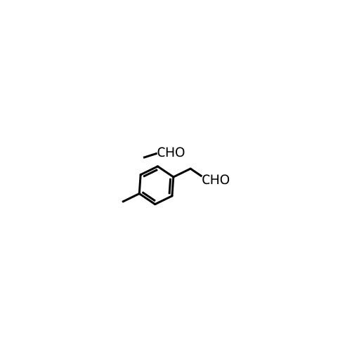 CC=O.Cc1ccc(CC=O)cc1